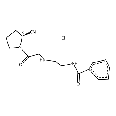 Cl.N#C[C@@H]1CCCN1C(=O)CNCCNC(=O)c1ccccc1